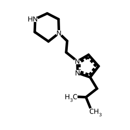 CC(C)Cc1ccn(CCN2CCNCC2)n1